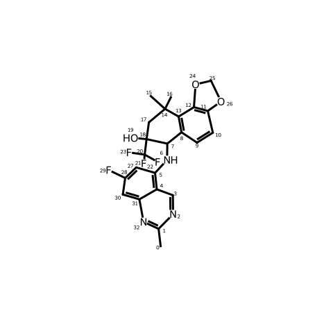 Cc1ncc2c(NC3c4ccc5c(c4C(C)(C)CC3(O)C(F)(F)F)OCO5)cc(F)cc2n1